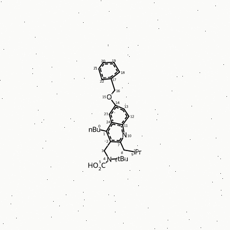 CCCCc1c(CN(C(=O)O)C(C)(C)C)c(CC(C)C)nc2ccc(OCc3ccccc3)cc12